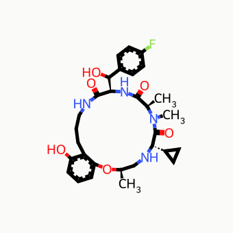 C[C@@H]1CN[C@@H](C2CC2)C(=O)N(C)[C@H](C)C(=O)N[C@H](C(O)c2ccc(F)cc2)C(=O)NCCCc2c(O)cccc2O1